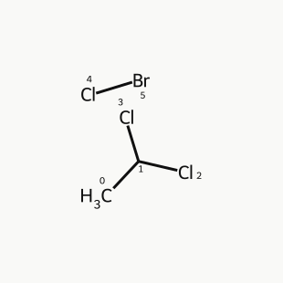 CC(Cl)Cl.ClBr